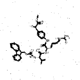 COC(=O)C(O)c1ccc(NC(=O)[C@H](CCCNC(N)=O)NC(=O)[C@@H](NC(=O)OCC2c3ccccc3-c3ccccc32)C(C)C)cc1